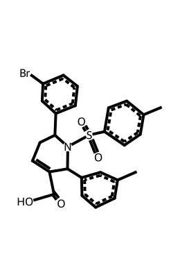 Cc1ccc(S(=O)(=O)N2C(c3cccc(Br)c3)CC=C(C(=O)O)C2c2cccc(C)c2)cc1